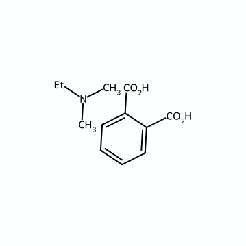 CCN(C)C.O=C(O)c1ccccc1C(=O)O